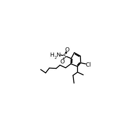 CCCCCCc1c(S(N)(=O)=O)ccc(Cl)c1C(C)CC